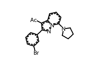 CC(=O)c1c(-c2cccc(Br)c2)nn2c(N3CCCC3)cccc12